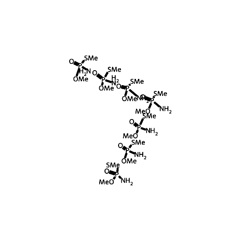 COP(N)(=O)SC.COP(N)(=O)SC.COP(N)(=O)SC.COP(N)(=O)SC.COP(N)(=O)SC.COP(N)(=O)SC.COP(N)(=O)SC